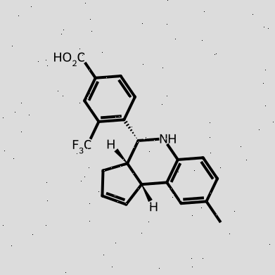 Cc1ccc2c(c1)[C@@H]1C=CC[C@@H]1[C@H](c1ccc(C(=O)O)cc1C(F)(F)F)N2